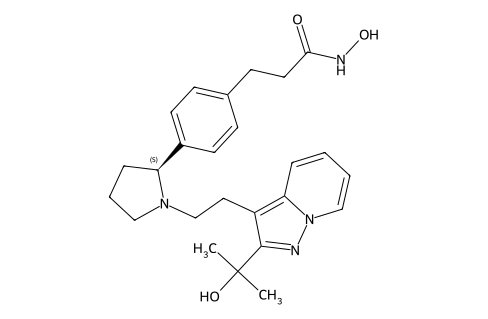 CC(C)(O)c1nn2ccccc2c1CCN1CCC[C@H]1c1ccc(CCC(=O)NO)cc1